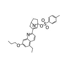 CCCOc1cc(CC)c2ccc(C3=CC4(OS(=O)(=O)c5ccc(C)cc5)CCC(C3)N4C)nc2c1